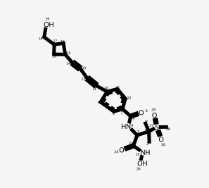 CC(C)(C(NC(=O)c1ccc(C#CC#CC2CC(CO)C2)cc1)C(=O)NO)S(C)(=O)=O